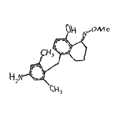 CO/N=C1\CCCc2c(Cc3c(C)cc(N)cc3C)ccc(O)c21